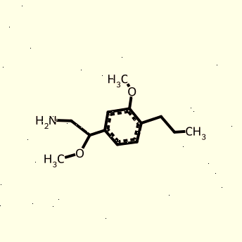 CCCc1ccc(C(CN)OC)cc1OC